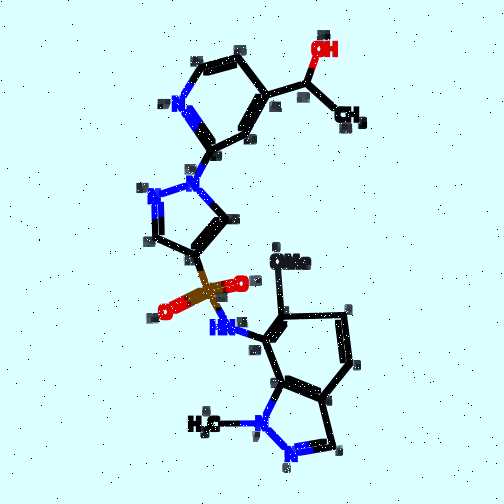 COc1ccc2cnn(C)c2c1NS(=O)(=O)c1cnn(-c2cc(C(C)O)ccn2)c1